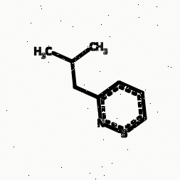 CC(C)Cc1cccbn1